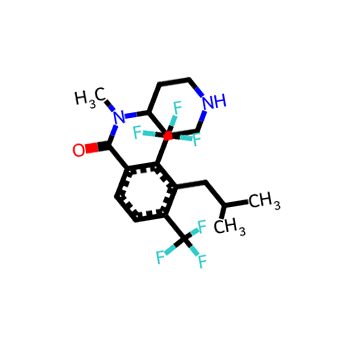 CC(C)Cc1c(C(F)(F)F)ccc(C(=O)N(C)C2CCNCC2)c1C(F)(F)F